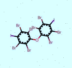 Brc1c(Br)c(Oc2c(Br)c(Br)c(I)c(Br)c2Br)c(Br)c(Br)c1I